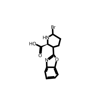 O=C(O)[C@H]1NC(Br)CCC1c1nc2ccccc2o1